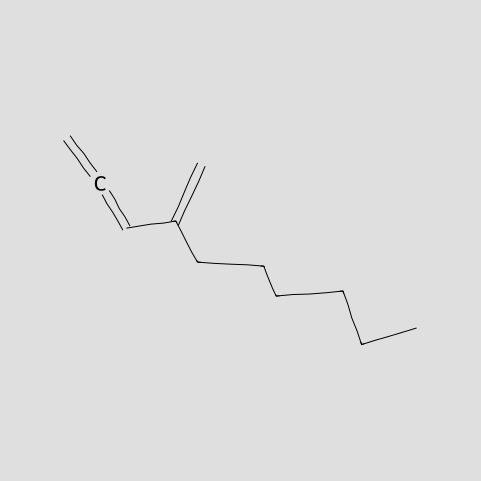 C=C=CC(=C)CCCCCC